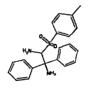 Cc1ccc(S(=O)(=O)C(N)C(N)(c2ccccc2)c2ccccc2)cc1